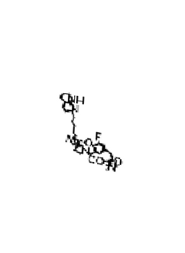 COc1c(F)cc(Cc2ocnc2C)cc1[C@@H](C(=O)O)N1CC[C@@H](OCCCCCc2ccc3c(n2)NCCC3)C1